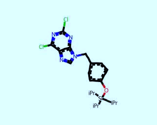 CC(C)[Si](Oc1ccc(Cn2cnc3c(Cl)nc(Cl)nc32)cc1)(C(C)C)C(C)C